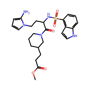 COC(=O)CCC1CCCN(C(=O)C(CCn2cccc2N)NS(=O)(=O)c2cccc3[nH]ccc23)C1